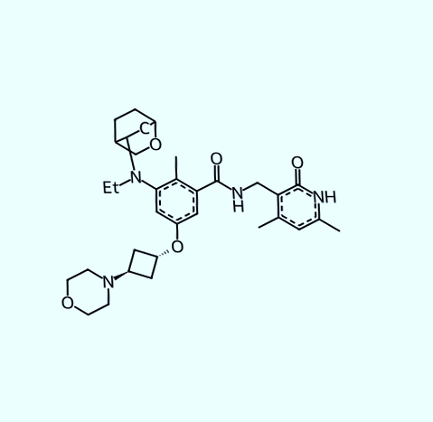 CCN(c1cc(O[C@H]2C[C@H](N3CCOCC3)C2)cc(C(=O)NCc2c(C)cc(C)[nH]c2=O)c1C)C1CC2CCC1CO2